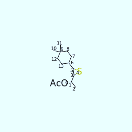 CC(=O)O[C@@H](C)C1SC1C1CCC(C)(C)CC1